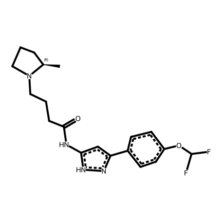 C[C@@H]1CCCN1CCCC(=O)Nc1cc(-c2ccc(OC(F)F)cc2)n[nH]1